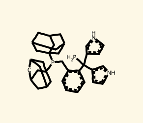 PC(c1cc[nH]c1)(c1cc[nH]c1)c1ccccc1CP(C12CC3CC(CC(C3)C1)C2)C12CC3CC(CC(C3)C1)C2